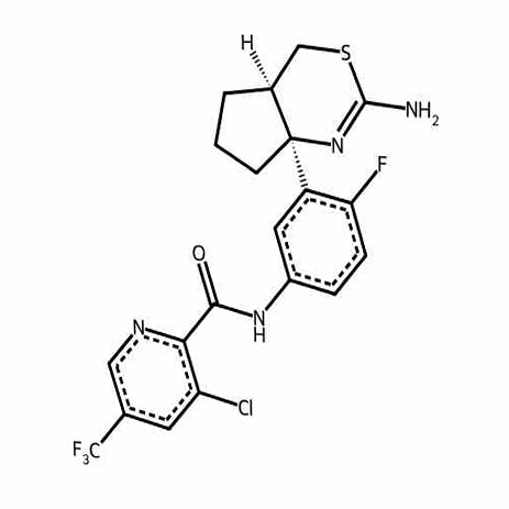 NC1=N[C@@]2(c3cc(NC(=O)c4ncc(C(F)(F)F)cc4Cl)ccc3F)CCC[C@H]2CS1